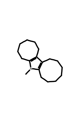 Cn1c2c(c3c1CCCCCC3)CCCCCCC2